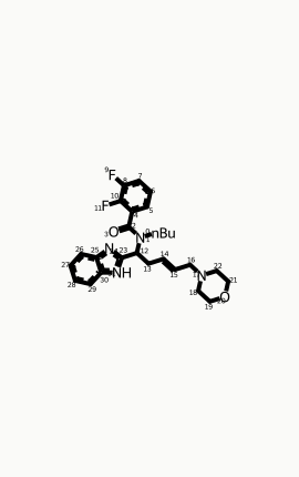 CCCCN(C(=O)c1cccc(F)c1F)C(CC=CCN1CCOCC1)c1nc2ccccc2[nH]1